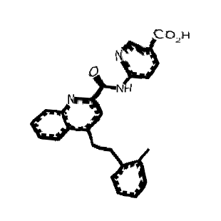 Cc1ccccc1CCc1cc(C(=O)Nc2ccc(C(=O)O)cn2)nc2ccccc12